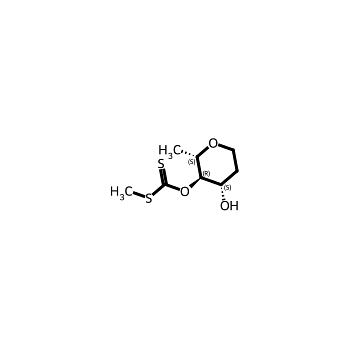 CSC(=S)O[C@H]1[C@H](C)OCC[C@@H]1O